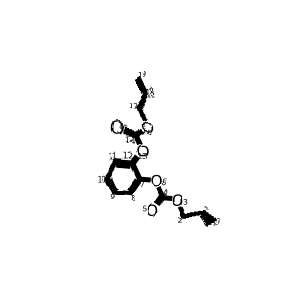 C=CCOC(=O)Oc1ccccc1OC(=O)OCC=C